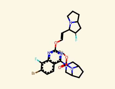 CC(C)(C)OC(=O)N1C2CCC1CN(c1nc(O/C=C/C3[C@H](F)CC4CCCN43)nc3c(F)c(Br)ccc13)C2